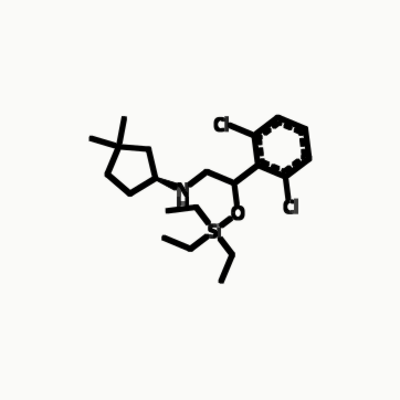 CC[Si](CC)(CC)OC(CN[C@H]1CCC(C)(C)C1)c1c(Cl)cccc1Cl